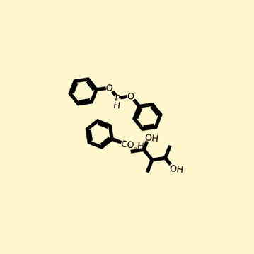 CC(O)C(C)C(C)O.O=C(O)c1ccccc1.c1ccc(OPOc2ccccc2)cc1